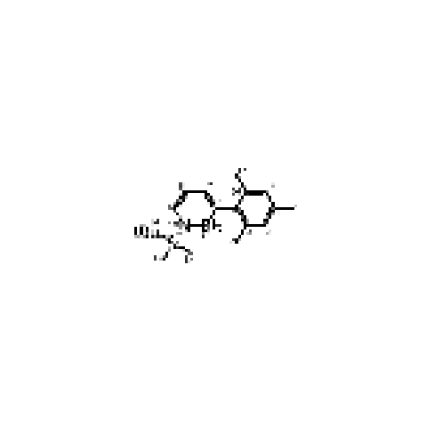 Cc1cc(C)c(C2=CC=CN([Si](C)(C)C(C)(C)C)B2)c(C)c1